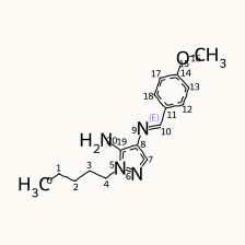 CCCCCn1ncc(/N=C/c2ccc(OC)cc2)c1N